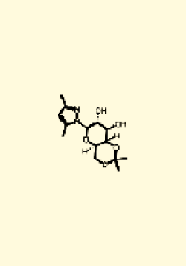 Cc1cc(C)n([C@@H]2O[C@@H]3COC(C)(C)O[C@H]3[C@H](O)[C@H]2O)n1